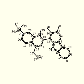 Cc1cc2c(oc3ccccc32)c(-c2cc(CC(C)C)c3ccc([Si](C)(C)C)cc3[n+]2C)c1C